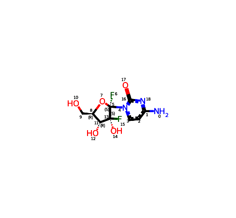 Nc1ccn([C@]2(F)O[C@H](CO)[C@@H](O)[C@]2(O)F)c(=O)n1